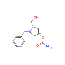 NC(=O)O[C@H]1C[C@@H](CO)N(Cc2ccccc2)C1